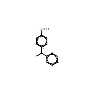 CCOC(=O)c1ccc(C(C)c2cccnc2)cc1